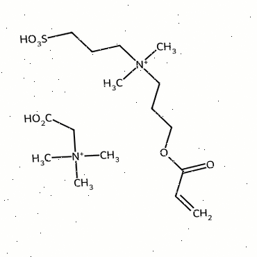 C=CC(=O)OCCC[N+](C)(C)CCCS(=O)(=O)O.C[N+](C)(C)CC(=O)O